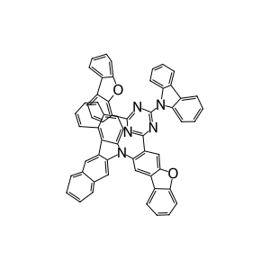 c1ccc2cc3c(cc2c1)c1c2ccccc2ccc1n3-c1cc2c(cc1-c1nc(-c3cccc4c3oc3ccccc34)nc(-n3c4ccccc4c4ccccc43)n1)oc1ccccc12